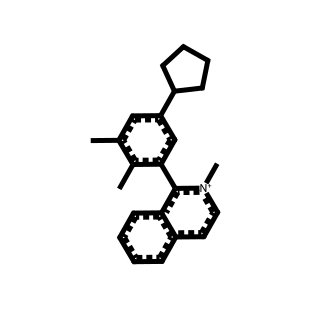 Cc1cc(C2CCCC2)cc(-c2c3ccccc3cc[n+]2C)c1C